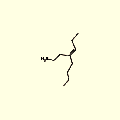 CC/C=C(\CCN)CCCC